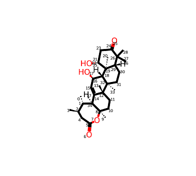 C[C@H]1[C@H](C)CC(=O)O[C@]2(C)CC[C@]3(C)C(=C[C@@H](O)[C@@H]4[C@@]5(C)[C@H](O)CC(=O)C(C)(C)[C@@H]5CC[C@]43C)[C@H]12